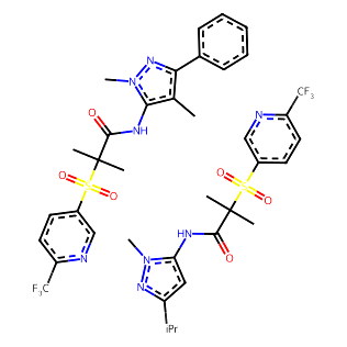 CC(C)c1cc(NC(=O)C(C)(C)S(=O)(=O)c2ccc(C(F)(F)F)nc2)n(C)n1.Cc1c(-c2ccccc2)nn(C)c1NC(=O)C(C)(C)S(=O)(=O)c1ccc(C(F)(F)F)nc1